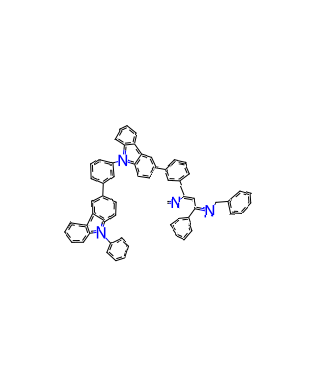 C=N/C(=C\C(=N/Cc1ccccc1)c1ccccc1)c1cccc(-c2ccc3c(c2)c2ccccc2n3-c2cccc(-c3ccc4c(c3)c3ccccc3n4-c3ccccc3)c2)c1